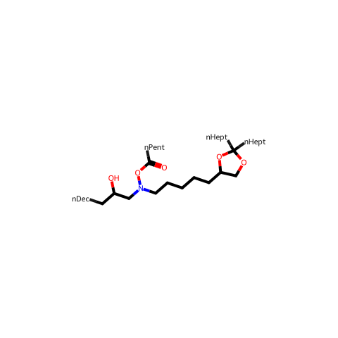 CCCCCCCCCCCC(O)CN(CCCCCC1COC(CCCCCCC)(CCCCCCC)O1)OC(=O)CCCCC